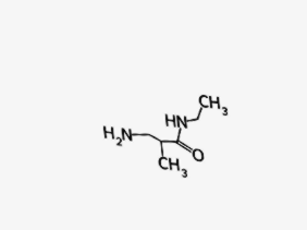 CCNC(=O)C(C)CN